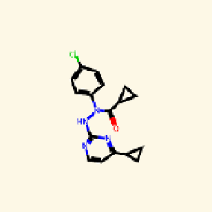 O=C(C1CC1)N(Nc1nccc(C2CC2)n1)c1ccc(Cl)cc1